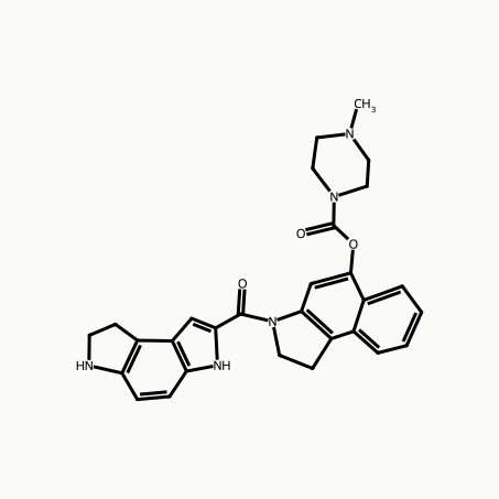 CN1CCN(C(=O)Oc2cc3c(c4ccccc24)CCN3C(=O)c2cc3c4c(ccc3[nH]2)NCC4)CC1